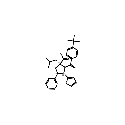 CC(C)C[C@@]1(C(=O)O)C[C@H](c2ccncn2)[C@H](c2cncs2)N1C(=O)c1ccc(C(C)(C)C)cc1